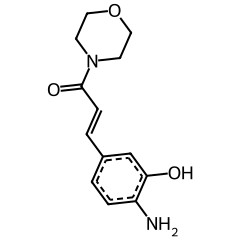 Nc1ccc(C=CC(=O)N2CCOCC2)cc1O